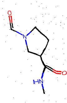 CNC(=O)C1CCN([C]=O)C1